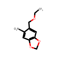 O=[N+]([O-])c1cc2c(cc1COCC(F)(F)F)OCO2